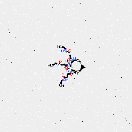 C#CCNC(=O)CCC(=O)NC1(C)CCCCC2CC2CCCC(C)(NC(=O)CCC(=O)NCC#C)CC(C)(NC(=O)CCC(=O)NCC#C)C1